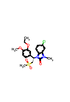 CCOc1cc([C@@H](CS(C)(=O)=O)n2c(=O)n(C)c3cc(Cl)ccc32)ccc1OC